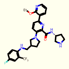 CCOc1ncccc1-c1ccc(N2CCC(CNc3ccc(F)cc3C(F)(F)F)C2)c(C(=O)N[C@@H]2CCNC2)n1